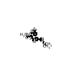 COC(=O)c1sc(-c2cnc3cc(-c4cnn(CCN(C)C)c4)ccn23)cc1OC(C)c1ccccc1C(F)(F)F